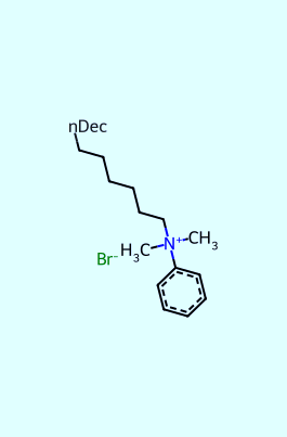 CCCCCCCCCCCCCCCC[N+](C)(C)c1ccccc1.[Br-]